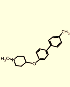 Cc1ccc(-c2ccc(OC3CCN(C)CC3)cc2)cc1